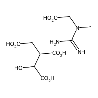 CN(CC(=O)O)C(=N)N.O=C(O)CC(C(=O)O)C(O)C(=O)O